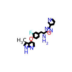 Cc1c[nH]c2nccc(Oc3ccc(C[C@H](N)c4nc(-c5cccnc5)no4)cc3F)c12